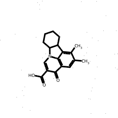 Cc1cc2c(=O)c(C(=O)O)cn3c2c(c1C)C1CCCCC13